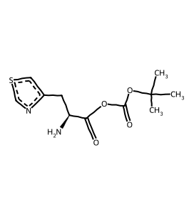 CC(C)(C)OC(=O)OC(=O)[C@@H](N)Cc1cscn1